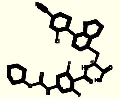 N#Cc1ccc(-c2ccc(C[C@H](NC(=O)c3c(F)cc(NC(=O)Oc4ccccc4)cc3F)C(=O)O)c3cccnc23)c(Cl)c1